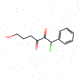 O=C(CCCO)C(=O)C(Cl)c1ccccc1